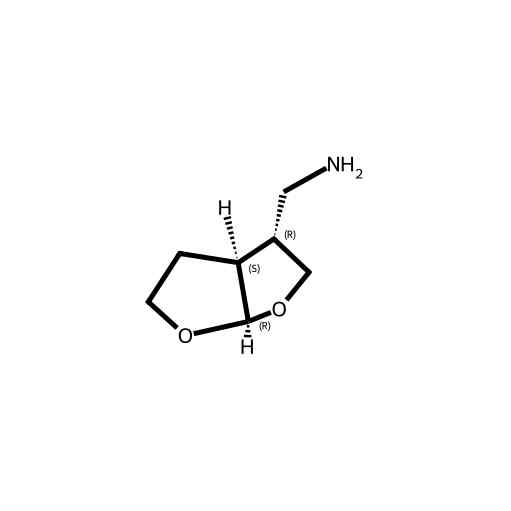 NC[C@@H]1CO[C@H]2OCC[C@@H]12